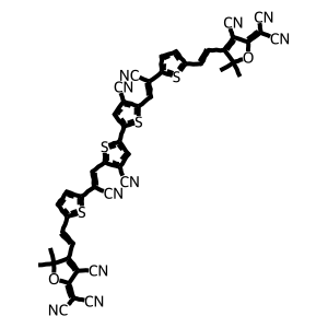 CC1(C)OC(=C(C#N)C#N)C(C#N)=C1/C=C/c1ccc(/C(C#N)=C/c2sc(-c3cc(C#N)c(/C=C(\C#N)c4ccc(/C=C/C5=C(C#N)C(=C(C#N)C#N)OC5(C)C)s4)s3)cc2C#N)s1